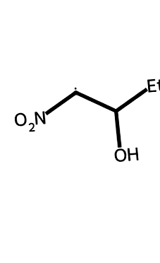 CCC(O)[CH][N+](=O)[O-]